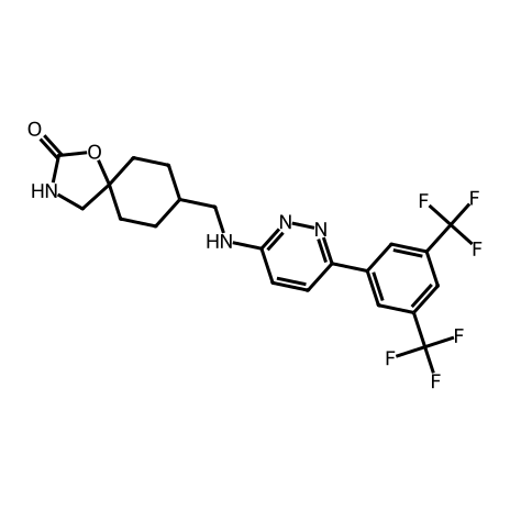 O=C1NCC2(CCC(CNc3ccc(-c4cc(C(F)(F)F)cc(C(F)(F)F)c4)nn3)CC2)O1